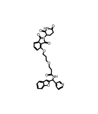 O=C1CCC(N2C(=O)c3cccc(OCCCOCCC(=O)NC(c4cccnc4)c4cc5ccccc5o4)c3C2=O)C(=O)N1